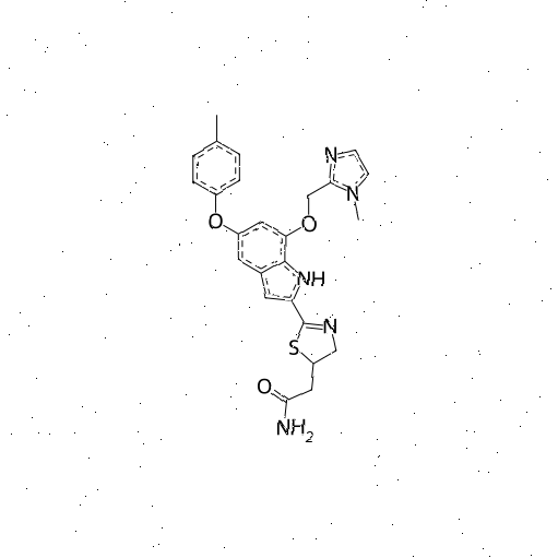 Cc1ccc(Oc2cc(OCc3nccn3C)c3[nH]c(C4=NCC(CC(N)=O)S4)cc3c2)cc1